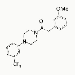 COc1cccc(CC(=O)N2CCN(c3cccc(C(F)(F)F)c3)CC2)c1